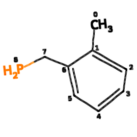 Cc1ccccc1CP